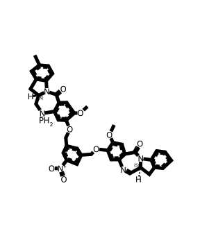 COc1cc2c(cc1OCc1cc(COc3cc4c(cc3OC)C(=O)N3c5ccc(C)cc5C[C@H]3CN4P)cc([N+](=O)[O-])c1)N=C[C@@H]1Cc3ccccc3N1C2=O